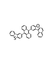 c1ccc2c(c1)ccc1oc3ccc(-c4c5ccccc5c(-c5ccc6sc7ccccc7c6c5)c5ccccc45)cc3c12